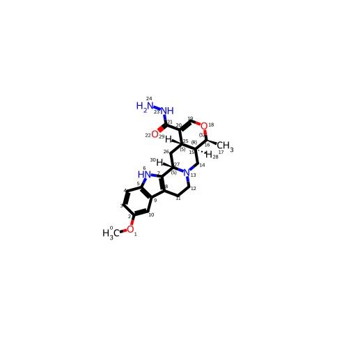 COc1ccc2[nH]c3c(c2c1)CCN1C[C@@H]2[C@H](C)OC=C(C(=O)NN)[C@H]2C[C@@H]31